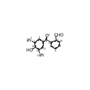 CC(C)c1cc(C(=O)c2ccccc2C=O)cc(C(C)C)c1O